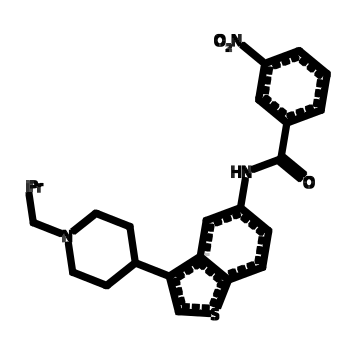 CC(C)CN1CCC(c2csc3ccc(NC(=O)c4cccc([N+](=O)[O-])c4)cc23)CC1